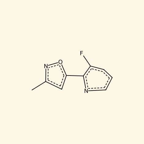 Cc1cc(-c2ncccc2F)on1